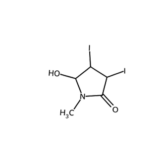 CN1C(=O)C(I)C(I)C1O